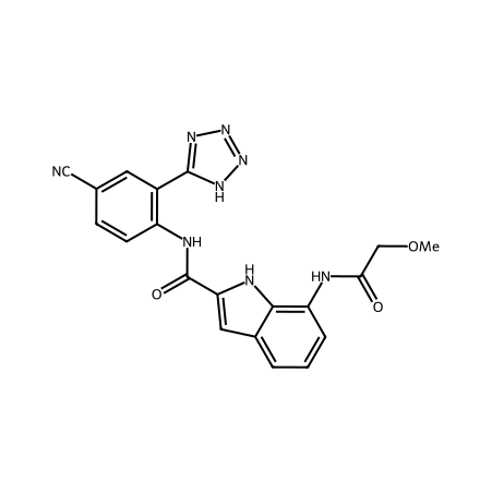 COCC(=O)Nc1cccc2cc(C(=O)Nc3ccc(C#N)cc3-c3nnn[nH]3)[nH]c12